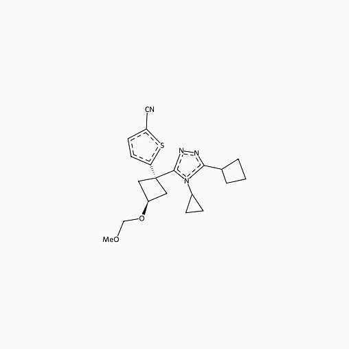 COCO[C@H]1C[C@@](c2ccc(C#N)s2)(c2nnc(C3CCC3)n2C2CC2)C1